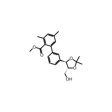 COC(=O)c1c(C)cc(C)cc1-c1cccc([C@H]2OC(C)(C)O[C@@H]2CO)c1